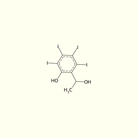 CC(O)c1c(O)c(I)c(I)c(I)c1I